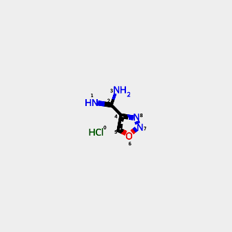 Cl.N=C(N)c1conn1